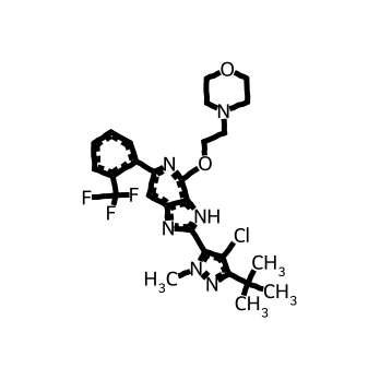 Cn1nc(C(C)(C)C)c(Cl)c1-c1nc2cc(-c3ccccc3C(F)(F)F)nc(OCCN3CCOCC3)c2[nH]1